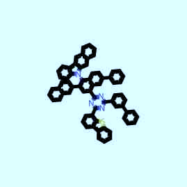 c1ccc(-c2cccc(-c3nc(-c4cc(-c5ccc6ccccc6c5)c(-n5c6ccccc6c6cc7ccccc7cc65)c5ccc(-c6ccccc6)cc45)nc(-c4cccc5c4sc4ccccc45)n3)c2)cc1